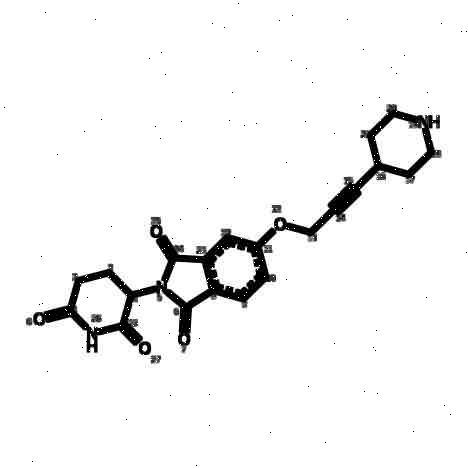 O=C1CCC(N2C(=O)c3ccc(OCC#CC4CCNCC4)cc3C2=O)C(=O)N1